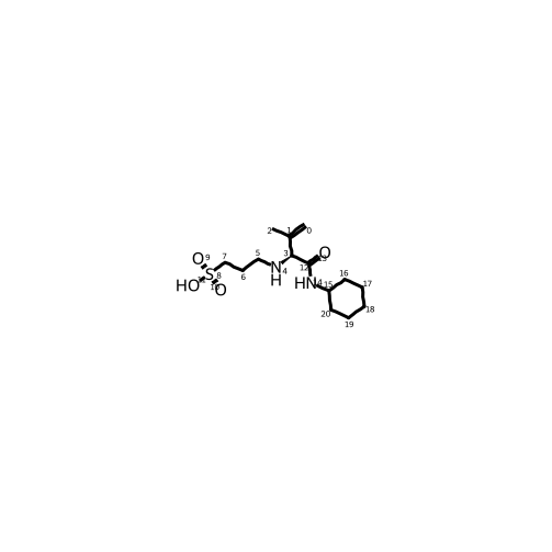 C=C(C)[C@H](NCCCS(=O)(=O)O)C(=O)NC1CCCCC1